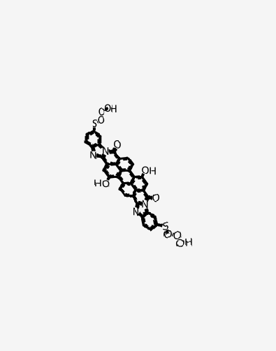 O=c1c2cc(O)c3c4ccc5c(=O)n6c7cc(SOOO)ccc7nc6c6cc(O)c(c7ccc(c2c73)c2nc3ccc(SOOO)cc3n12)c4c56